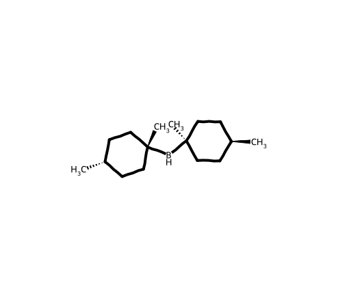 C[C@H]1CC[C@@](C)(B[C@]2(C)CC[C@H](C)CC2)CC1